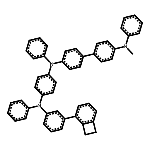 CN(c1ccccc1)c1ccc(-c2ccc(N(c3ccccc3)c3ccc(N(c4ccccc4)c4cccc(-c5cccc6c5CC6)c4)cc3)cc2)cc1